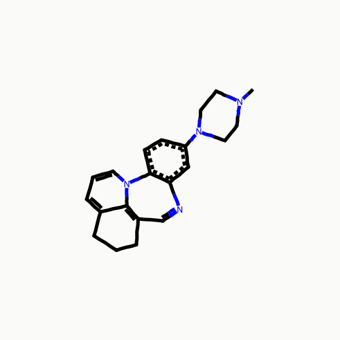 CN1CCN(c2ccc3c(c2)N=CC2=C4C(=CC=CN43)CCC2)CC1